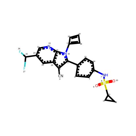 N#Cc1c(-c2ccc(NS(=O)(=O)C3CC3)cc2)n(C2=CC=C2)c2ncc(C(F)F)cc12